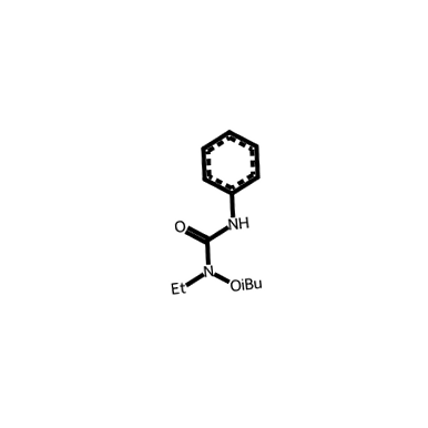 CCN(OCC(C)C)C(=O)Nc1ccccc1